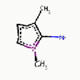 Cc1ccp(C)c1[N]